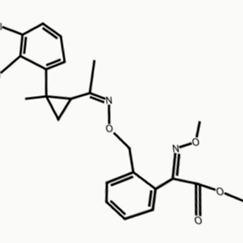 CON=C(C(=O)OC)c1ccccc1CON=C(C)C1CC1(C)c1cccc(Cl)c1Cl